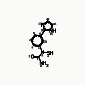 NC(=O)N(S)c1cccc(-c2ncc[nH]2)c1